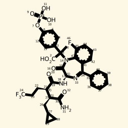 CC(C(=O)O)(c1ccc(OP(=O)(O)O)cc1)N1C(=O)[C@@H](NC(=O)[C@H](CCC(F)(F)F)[C@H](CC2CC2)C(N)=O)N=C(c2ccccc2)c2cccc(F)c21